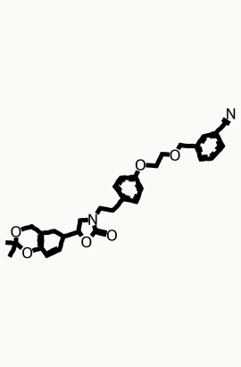 CC1(C)OCC2=C(C=CC(C3CN(CCc4ccc(OCCOCc5cccc(C#N)c5)cc4)C(=O)O3)C2)O1